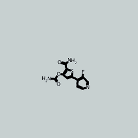 NC(=O)Oc1cc(-c2ccncc2F)sc1C(N)=O